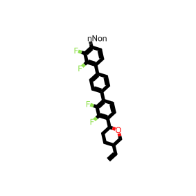 C=CC1CCC(c2ccc(-c3ccc(-c4ccc(CCCCCCCCC)c(F)c4F)cc3)c(F)c2F)OC1